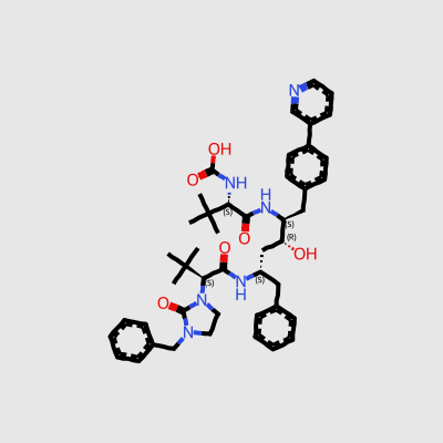 CC(C)(C)[C@H](NC(=O)O)C(=O)N[C@@H](Cc1ccc(-c2cccnc2)cc1)[C@H](O)C[C@H](Cc1ccccc1)NC(=O)[C@@H](N1CCN(Cc2ccccc2)C1=O)C(C)(C)C